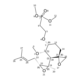 CO[C@@H]1[C@H](OCCP(=O)(OC)OC)CC[C@]2(CO2)[C@H]1[C@@]1(C)O[C@@H]1CC=C(C)C